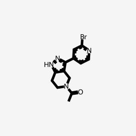 CC(=O)N1CCc2[nH]nc(-c3ccnc(Br)c3)c2C1